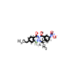 CCc1ccc(C(=O)N(NC(C)(C)C)C(=O)c2cccc([N+](=O)[O-])c2)c(F)c1